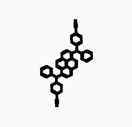 N#CC1=CC=C(N(c2ccccc2)c2ccc3ccc4c(N(c5ccccc5)C5CC=C(C#N)CC5)ccc5ccc2c3c54)CC1